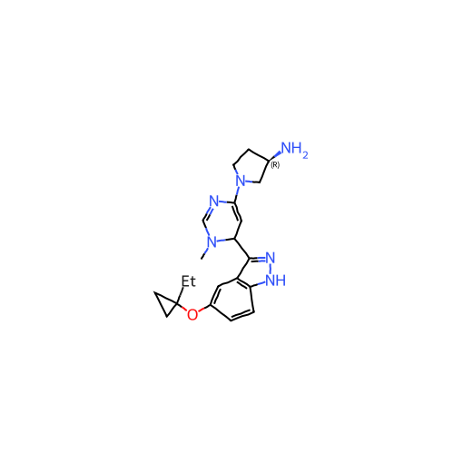 CCC1(Oc2ccc3[nH]nc(C4C=C(N5CC[C@@H](N)C5)N=CN4C)c3c2)CC1